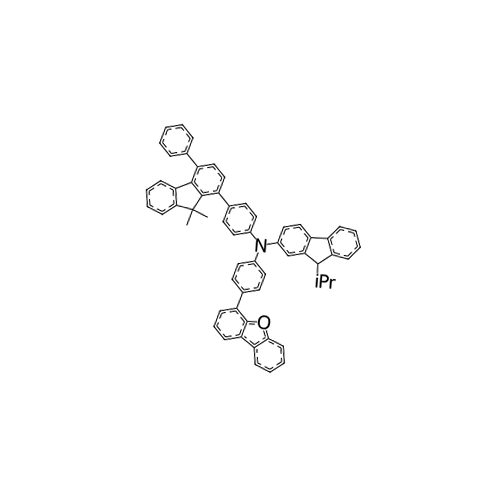 CC(C)C1c2ccccc2-c2ccc(N(c3ccc(-c4ccc(-c5ccccc5)c5c4C(C)(C)c4ccccc4-5)cc3)c3ccc(-c4cccc5c4oc4ccccc45)cc3)cc21